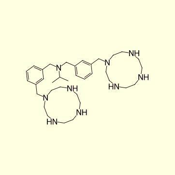 CC(C)N(Cc1cccc(CN2CCNCCNCCNCC2)c1)Cc1cccc(CN2CCNCCNCCNCC2)c1